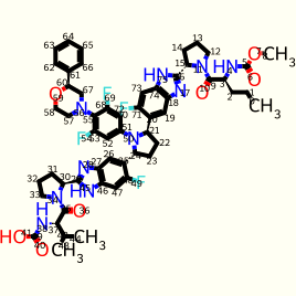 CCC[C@H](NC(=O)OC)C(=O)N1CCC[C@H]1c1nc2cc([C@H]3CC[C@H](c4cc5nc([C@@H]6CCCN6C(=O)[C@@H](NC(=O)O)C(C)C)[nH]c5cc4F)N3c3cc(F)c(N4CCO[C@@H](c5ccccc5)C4)c(F)c3)c(F)cc2[nH]1